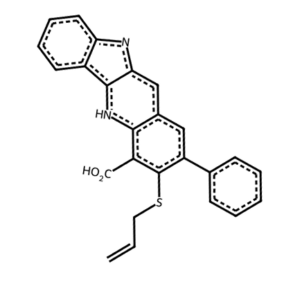 C=CCSc1c(-c2ccccc2)cc2cc3nc4ccccc4c-3[nH]c2c1C(=O)O